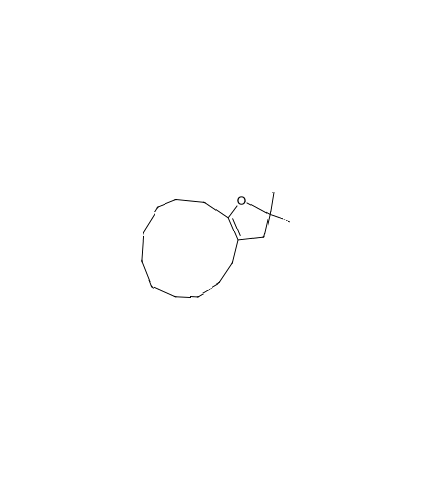 CC1(C)CC2=C(CCCCCCCCCC2)O1